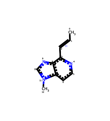 C/C=C/c1nccc2c1ncn2C